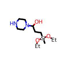 CCO[Si](C)(CCC(O)N1CCNCC1)OCC